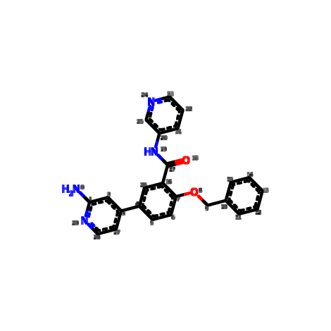 Nc1cc(-c2ccc(OCc3ccccc3)c(C(=O)Nc3cccnc3)c2)ccn1